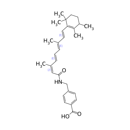 CC1=C(/C=C/C(C)=C/C=C/C(C)=C\C(=O)NCc2ccc(C(=O)O)cc2)C(C)(C)CCC1C